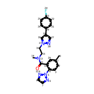 Cc1ccc(-n2nccn2)c(C(=O)N(C)CCn2cc(-c3ccc(F)cc3)cn2)c1